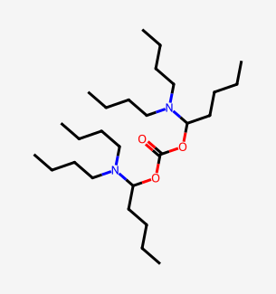 CCCCC(OC(=O)OC(CCCC)N(CCCC)CCCC)N(CCCC)CCCC